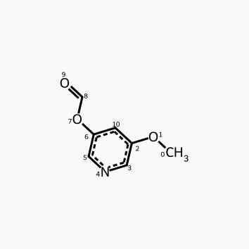 COc1cncc(OC=O)c1